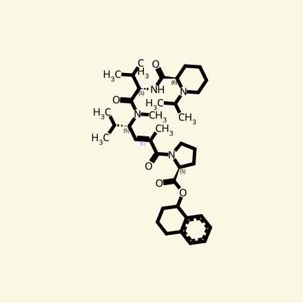 C/C(=C\[C@H](C(C)C)N(C)C(=O)[C@@H](NC(=O)[C@H]1CCCCN1C(C)C)C(C)C)C(=O)N1CCC[C@H]1C(=O)OC1CCCc2ccccc21